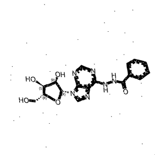 O=C(NNc1ncnc2c1ncn2[C@@H]1O[C@H](CO)[C@@H](O)[C@H]1O)c1ccccc1